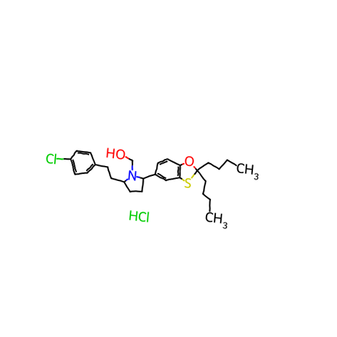 CCCCC1(CCCC)Oc2ccc(C3CCC(CCc4ccc(Cl)cc4)N3CO)cc2S1.Cl